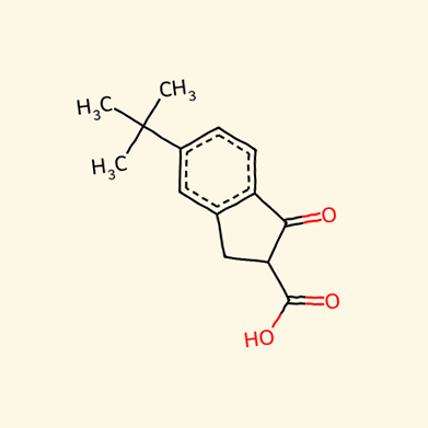 CC(C)(C)c1ccc2c(c1)CC(C(=O)O)C2=O